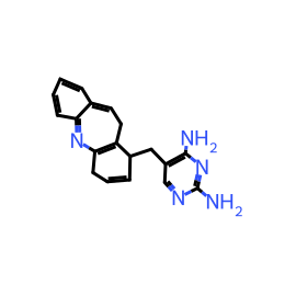 Nc1ncc(CC2C=CCC3=C2CC=c2ccccc2=N3)c(N)n1